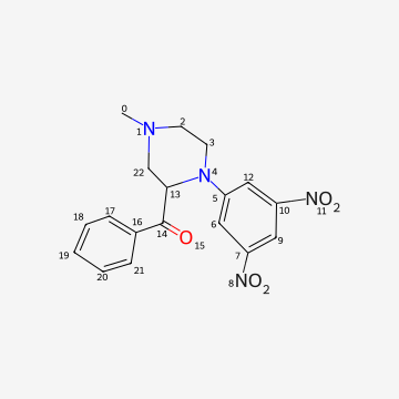 CN1CCN(c2cc([N+](=O)[O-])cc([N+](=O)[O-])c2)C(C(=O)c2ccccc2)C1